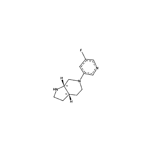 Fc1cncc(N2CC[C@@H]3CCN[C@@H]3C2)c1